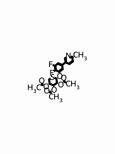 CC(=O)O[C@@H]1[C@@H](OC(C)=O)[C@H](OC(C)=O)CS[C@H]1Oc1cc(-c2ccc(C)nc2)cc(F)c1F